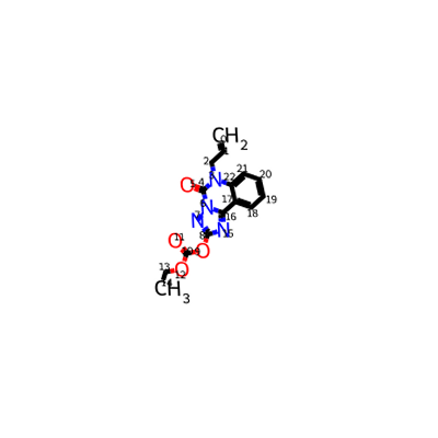 C=CCn1c(=O)n2nc(OC(=O)OCC)nc2c2ccccc21